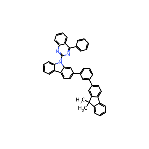 CC1(C)c2ccccc2-c2ccc(-c3cccc(-c4ccc5c6ccccc6n(-c6nc(-c7ccccc7)c7ccccc7n6)c5c4)c3)cc21